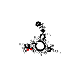 CO/N=C1\C[C@@H](C)O[C@@H](O[C@@H]2[C@@H](C)[C@H](O[C@H]3CC(C)N([C@H]4C[C@H](NS(=O)(=O)c5ccccc5)C4)C[C@H](C)O3)[C@@H](C)C(=O)O[C@H]([C@@H](C)CO[C@@H]3O[C@H](C)[C@@H](O)[C@@H](OC)[C@H]3OC)[C@H](C)[C@@H](OC(=O)CC(C)C)[C@@H](C)C(=O)[C@@](C)(O)C[C@@H]2C)[C@@H]1O